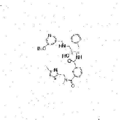 Cc1csc(CN(C)C(=O)c2cccc(C(=O)N[C@@H](Cc3ccccc3)[C@H](O)CNCc3cncc(OCC(C)C)c3)c2)n1